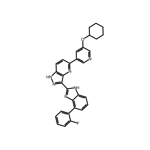 Fc1ccccc1-c1cccc2[nH]c(-c3n[nH]c4ccc(-c5cncc(OC6CCCCC6)c5)nc34)nc12